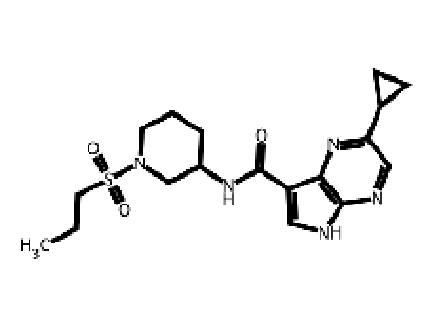 CCCS(=O)(=O)N1CCCC(NC(=O)c2c[nH]c3ncc(C4CC4)nc23)C1